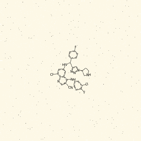 N#Cc1cnc2c(Cl)cc(NC(c3ccc(F)cc3)c3cn(C4CCNC4)nn3)cc2c1Nc1ccc(F)c(Cl)c1